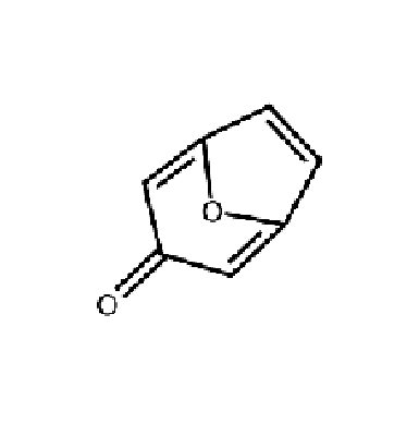 O=c1cc2ccc(c1)o2